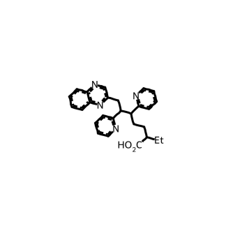 CCC(CCC(c1ccccn1)C(Cc1cnc2ccccc2n1)c1ccccn1)C(=O)O